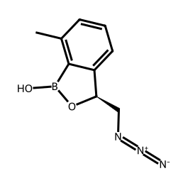 Cc1cccc2c1B(O)O[C@@H]2CN=[N+]=[N-]